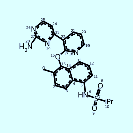 Cc1ccc2c(NS(=O)(=O)C(C)C)cccc2c1Oc1ncccc1-c1ccnc(N)n1